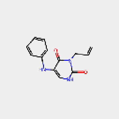 C=CCn1c(=O)[nH]cc(Nc2ccccc2)c1=O